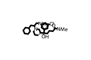 CNCC(CC1CCCCC1)N1CCC[C@@H]([C@@](O)(CCCC(=O)NC)c2cccc(Cl)c2)C1